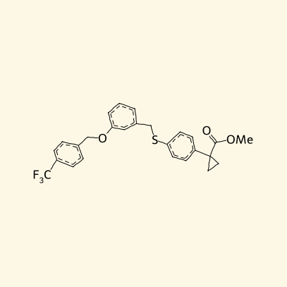 COC(=O)C1(c2ccc(SCc3cccc(OCc4ccc(C(F)(F)F)cc4)c3)cc2)CC1